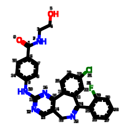 O=C(NCCO)c1ccc(Nc2ncc3c(n2)-c2ccc(Cl)cc2C(c2ccccc2F)=NC3)cc1